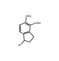 COc1ccc2c(c1OC)CCC2C(C)=O